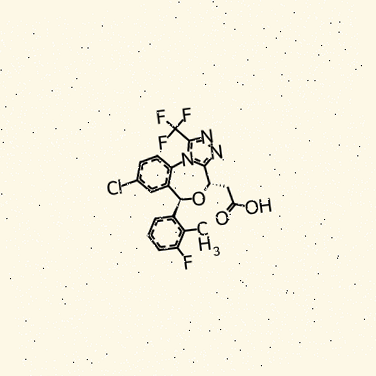 Cc1c(F)cccc1[C@@H]1O[C@@H](CC(=O)O)c2nnc(C(F)(F)F)n2-c2ccc(Cl)cc21